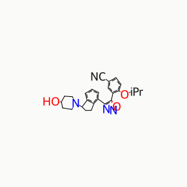 CC(C)Oc1ccc(C#N)cc1-c1onnc1-c1cccc2c1CCC2N1CCC(O)CC1